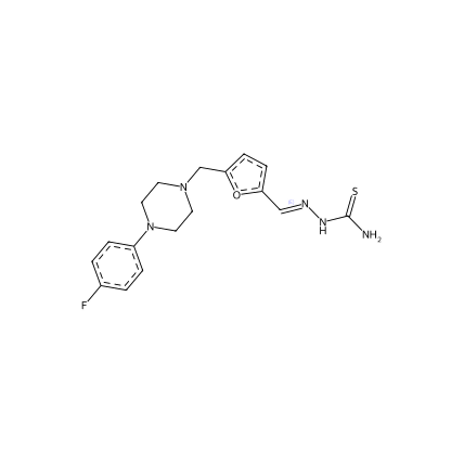 NC(=S)N/N=C/c1ccc(CN2CCN(c3ccc(F)cc3)CC2)o1